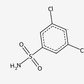 NS(=O)(=O)c1cc(Cl)[c]c(Cl)c1